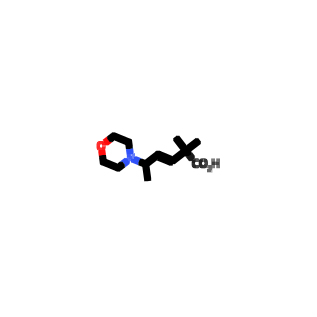 CC(/C=C/C(C)(C)C(=O)O)N1CCOCC1